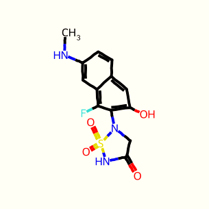 CNc1ccc2cc(O)c(N3CC(=O)NS3(=O)=O)c(F)c2c1